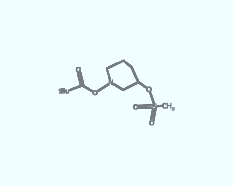 CC(C)(C)C(=O)ON1CCCC(OS(C)(=O)=O)C1